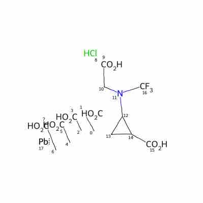 CC(=O)O.CC(=O)O.CC(=O)O.CC(=O)O.Cl.O=C(O)CN(C1CC1C(=O)O)C(F)(F)F.[Pb]